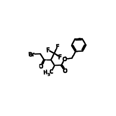 CC(C(=O)OCc1ccccc1)C(C(=O)CBr)C(F)(F)F